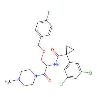 CN1CCN(C(=O)C(COCc2ccc(F)cc2)NC(=O)C2(c3cc(Cl)cc(Cl)c3)CC2)CC1